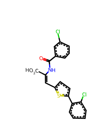 O=C(O)C(=Cc1ccc(-c2ccccc2Cl)s1)NC(=O)c1cccc(Cl)c1